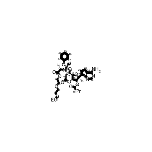 CCOCCOCCOC(=O)[C@H](C)NP(=O)(OC[C@H]1O[C@@](C)(c2ccc3c(N)ncnn23)[C@H](OC(=O)C(C)C)[C@@H]1OC(=O)C(C)C)Oc1ccccc1